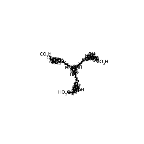 C[C@H](CCC(=O)O)[C@H]1CC[C@H]2[C@@H]3CC[C@@H]4C[C@@H](OCCCCCCNC(=O)C5(C)CC(C)(C(=O)NCCCCCCO[C@H]6CC[C@@]7(C)[C@@H](C6)C[C@@H](O)[C@@H]6[C@@H]7C[C@H](O)[C@]7(C)[C@@H]([C@H](C)CCC(=O)O)CC[C@@H]67)CC(C)(C(=O)NCCCCO[C@H]6CC[C@@]7(C)[C@@H](C6)C[C@@H](O)[C@@H]6[C@@H]7CC[C@]7(C)[C@@H]([C@H](C)CCC(=O)O)CC[C@@H]67)C5)CC[C@]4(C)[C@H]3CC[C@]12C